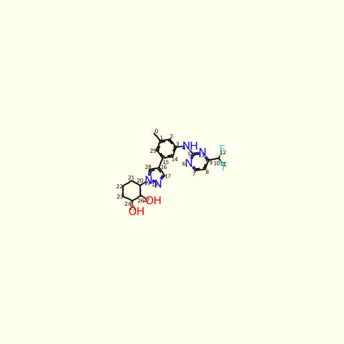 Cc1cc(Nc2nccc(C(F)F)n2)cc(-c2cnn(C3CCCC(O)C3O)c2)c1